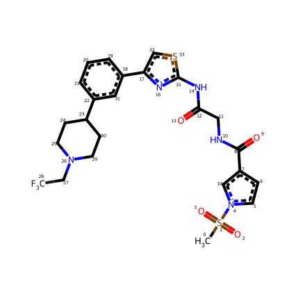 CS(=O)(=O)n1ccc(C(=O)NCC(=O)Nc2nc(-c3cccc(C4CCN(CC(F)(F)F)CC4)c3)cs2)c1